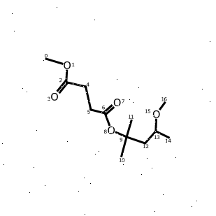 COC(=O)CCC(=O)OC(C)(C)CC(C)OC